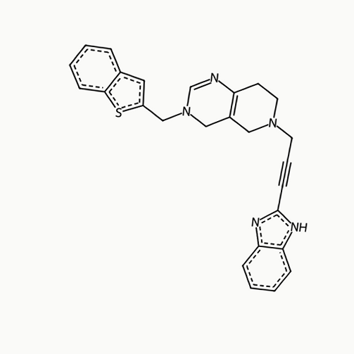 C(#Cc1nc2ccccc2[nH]1)CN1CCC2=C(CN(Cc3cc4ccccc4s3)C=N2)C1